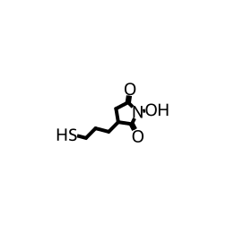 O=C1CC(CCCS)C(=O)N1O